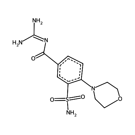 NC(N)=NC(=O)c1ccc(N2CCOCC2)c(S(N)(=O)=O)c1